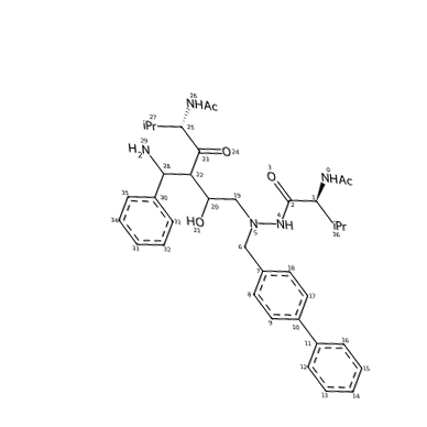 CC(=O)N[C@H](C(=O)NN(Cc1ccc(-c2ccccc2)cc1)CC(O)C(C(=O)[C@@H](NC(C)=O)C(C)C)C(N)c1ccccc1)C(C)C